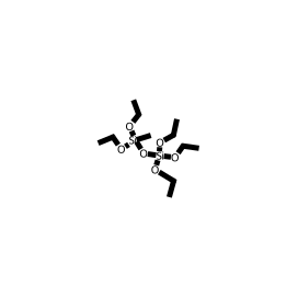 CCO[Si](C)(OCC)O[Si](OCC)(OCC)OCC